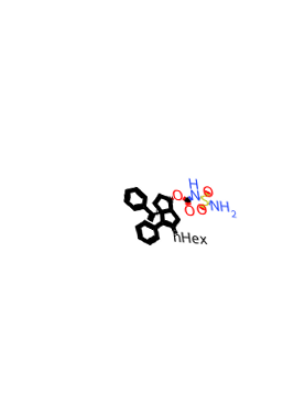 C=C(c1ccccc1)[C@@]12CC[C@@H](OC(=O)NS(N)(=O)=O)C1CC(CCCCCC)=C2c1ccccc1